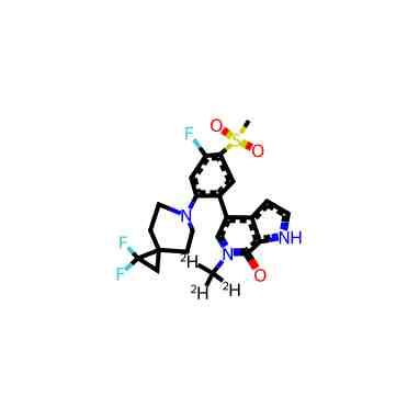 [2H]C([2H])([2H])n1cc(-c2cc(S(C)(=O)=O)c(F)cc2N2CCC3(CC2)CC3(F)F)c2cc[nH]c2c1=O